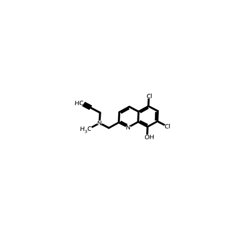 C#CCN(C)Cc1ccc2c(Cl)cc(Cl)c(O)c2n1